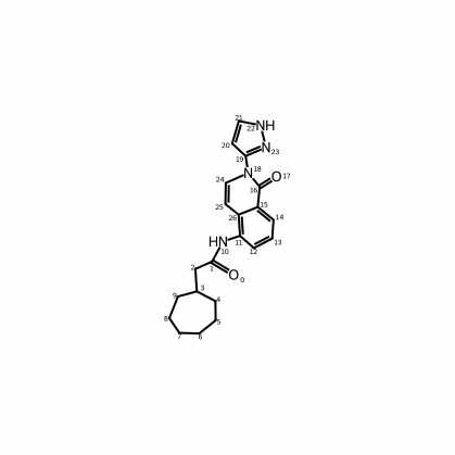 O=C(CC1CCCCCC1)Nc1cccc2c(=O)n(-c3cc[nH]n3)ccc12